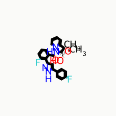 COC(C)(c1ccccn1)[C@H](CO)NC(=O)c1cccc(F)c1-c1cc(-c2ccc(F)cc2)[nH]n1